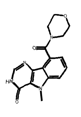 Cn1c2cccc(C(=O)N3CCOCC3)c2c2nc[nH]c(=O)c21